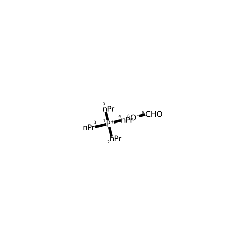 CCC[P+](CCC)(CCC)CCC.O=C[O-]